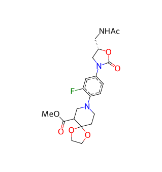 COC(=O)C1CN(c2ccc(N3C[C@H](CNC(C)=O)OC3=O)cc2F)CCC12OCCO2